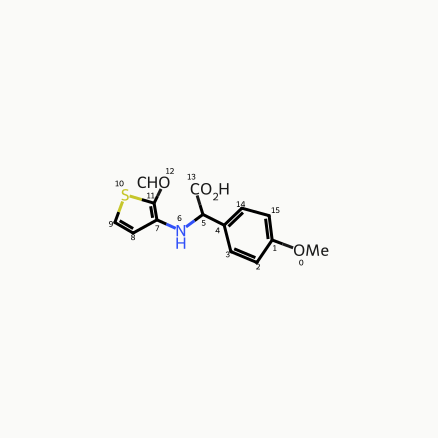 COc1ccc(C(Nc2ccsc2C=O)C(=O)O)cc1